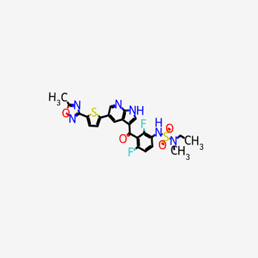 CCN(C)S(=O)(=O)Nc1ccc(F)c(C(=O)c2c[nH]c3ncc(-c4ccc(-c5noc(C)n5)s4)cc23)c1F